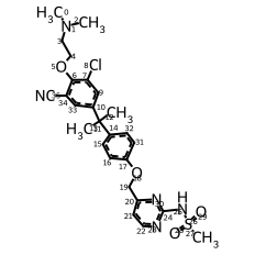 CN(C)CCOc1c(Cl)cc(C(C)(C)c2ccc(OCc3ccnc(NS(C)(=O)=O)n3)cc2)cc1C#N